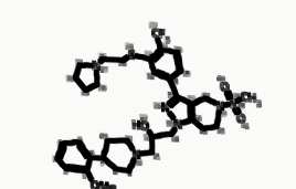 COc1ccccc1C1CCN(CC(O)Cn2nc(-c3ccc(C(F)(F)F)c(SCCN4CCCC4)c3)c3c2CCN(S(C)(=O)=O)C3)CC1